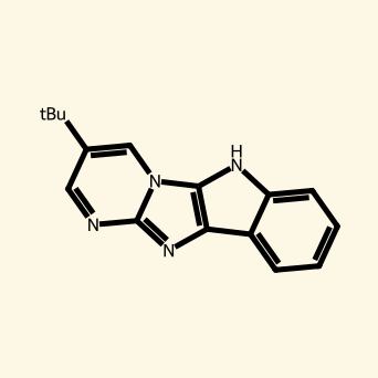 CC(C)(C)c1cnc2nc3c4ccccc4[nH]c3n2c1